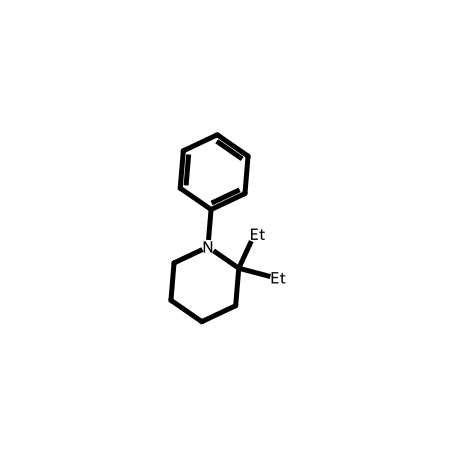 CCC1(CC)CCCCN1c1ccccc1